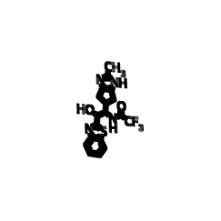 Cc1nc2c([nH]1)CC(C(NC(=O)C(F)(F)F)C(O)c1nc3ccccc3s1)C2